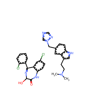 CN(C)CCc1c[nH]c2ccc(Cn3cncn3)cc12.O=C1Nc2ccc(Cl)cc2C(c2ccccc2Cl)=NC1O